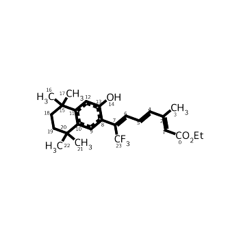 CCOC(=O)C=C(C)C=CC=C(c1cc2c(cc1O)C(C)(C)CCC2(C)C)C(F)(F)F